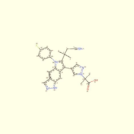 CC(C)(CC#N)c1c(-c2cnn(C(C)(C)C(=O)O)c2)c2cc3[nH]ncc3cc2n1-c1ccc(F)cc1